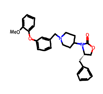 COc1ccccc1Oc1cccc(CN2CCC(N3C(=O)OC[C@@H]3Cc3ccccc3)CC2)c1